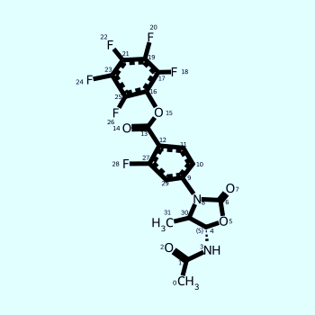 CC(=O)N[C@H]1OC(=O)N(c2ccc(C(=O)Oc3c(F)c(F)c(F)c(F)c3F)c(F)c2)C1C